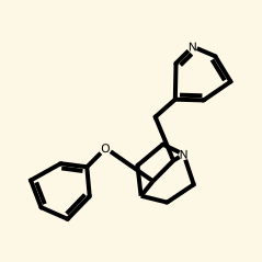 c1ccc(OC2C3CCN(CC3)C2Cc2cccnc2)cc1